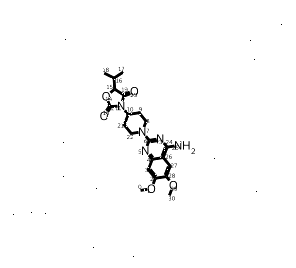 COc1cc2nc(N3CCC(N4C(=O)OC(C(C)C)C4=O)CC3)nc(N)c2cc1OC